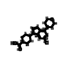 O=C(O)N1CCC(n2ncc3c(N4CCOCC4)nc(Cl)cc32)CC1